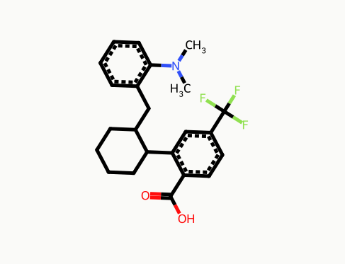 CN(C)c1ccccc1CC1CCCCC1c1cc(C(F)(F)F)ccc1C(=O)O